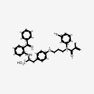 C=C(C)C(=O)N(CCCOc1ccc(CC(Nc2ccccc2C(=O)c2ccccc2)C(=O)O)cc1)c1cccc(F)c1